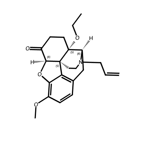 C=CCN1CC[C@]23c4c5ccc(OC)c4O[C@H]2C(=O)CC[C@@]3(OCC)[C@H]1C5